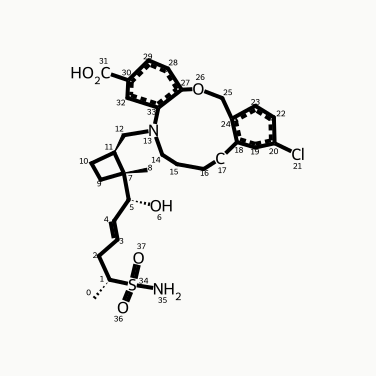 C[C@H](C/C=C/[C@@H](O)[C@]1(C)CC[C@H]1CN1CCCCc2cc(Cl)ccc2COc2ccc(C(=O)O)cc21)S(N)(=O)=O